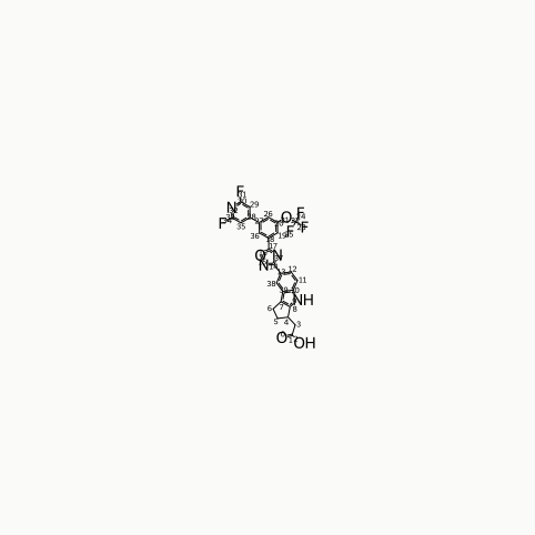 O=C(O)CC1CCc2c1[nH]c1ccc(-c3noc(-c4cc(OC(F)(F)F)cc(-c5cc(F)nc(F)c5)c4)n3)cc21